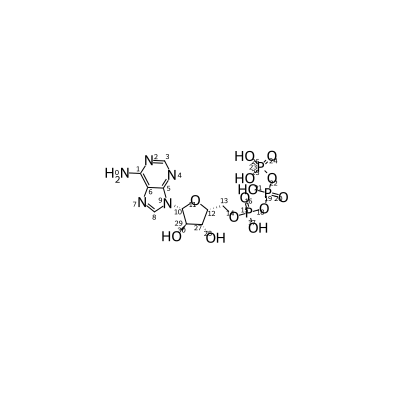 Nc1ncnc2c1ncn2[C@@H]1O[C@H](COP(=O)(O)OP(=O)(O)OP(=O)(O)O)[C@H](O)[C@H]1O